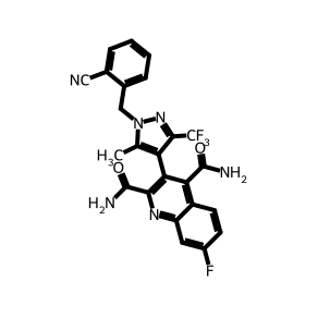 Cc1c(-c2c(C(N)=O)nc3cc(F)ccc3c2C(N)=O)c(C(F)(F)F)nn1Cc1ccccc1C#N